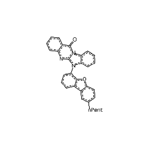 CCCCCc1ccc2oc3c(-n4c5ccccc5n5c(=O)c6ccccc6nc45)cccc3c2c1